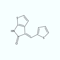 O=C1Nc2sccc2/C1=C\c1cccs1